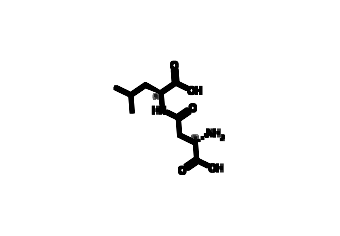 CC(C)C[C@H](NC(=O)C[C@H](N)C(=O)O)C(=O)O